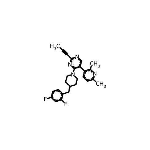 CC#Cc1ncc(-c2ccc(C)nc2C)c(N2CCC(Cc3ccc(F)cc3F)CC2)n1